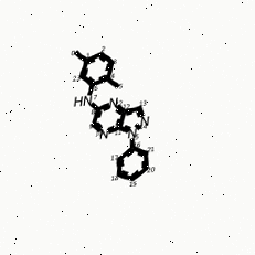 Cc1ccc(C)c(Nc2cnc3c(cnn3-c3ccccc3)n2)c1